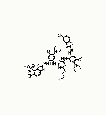 CCN(CC)c1cc(Nc2nc(Nc3cc(N(CC)CC)c(OC)cc3/N=N/c3nc4ccc(Cl)c(S(=O)(=O)O)c4s3)nc(SCCO)n2)c(/N=N/c2nc3ccc(Cl)cc3s2)cc1OC